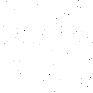 CC(C)OC(=O)CNC(=O)CN